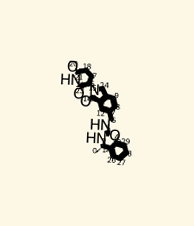 C[C@H](NC(=O)NCc1ccc2c(c1)C(=O)N(C1CCC(=O)NC1=O)C2)c1ccccc1